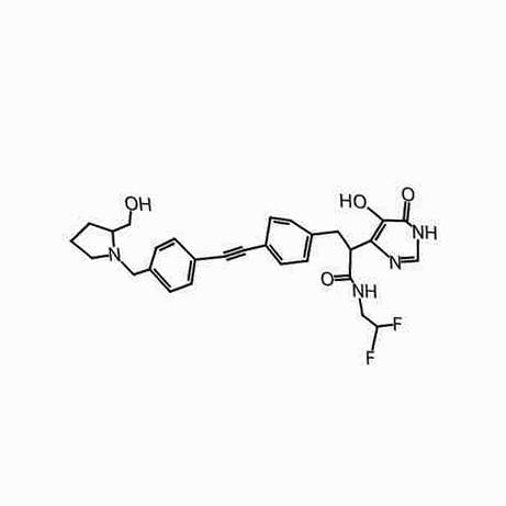 O=C(NCC(F)F)C(Cc1ccc(C#Cc2ccc(CN3CCCC3CO)cc2)cc1)c1nc[nH]c(=O)c1O